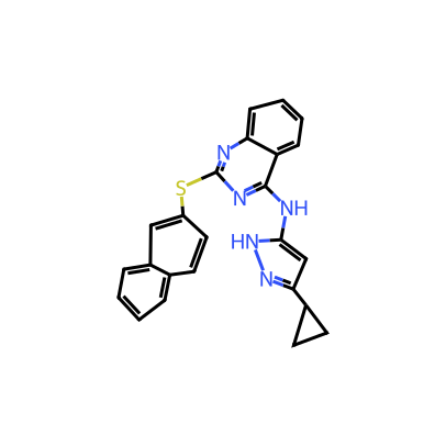 c1ccc2cc(Sc3nc(Nc4cc(C5CC5)n[nH]4)c4ccccc4n3)ccc2c1